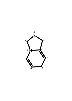 C1=CN2CSCC2=CC1